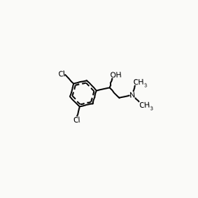 CN(C)CC(O)c1cc(Cl)cc(Cl)c1